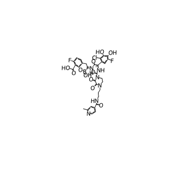 Cc1cc(C(=O)NCCCN2CCN(C(=O)N[C@@H](C(=O)N[C@H]3Cc4ccc(F)c(C(=O)O)c4OB3O)c3cc(F)c(O)c(O)c3Cl)C(=O)C2=O)ccn1